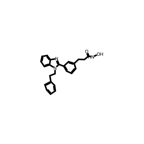 O=C(CCc1cccc(-c2nc3ccccc3n2CCc2ccccc2)c1)NO